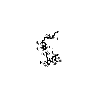 Cc1c(C)c2c(c(C)c1OCC(=O)CCO[C@@H]1C(C)C(O)OC(CO)[C@H]1O[C@@H]1OC(CO)[C@@H](O)[C@H](O)C1C)CC[C@](C)(CCC[C@@H](C)CCC[C@@H](C)CCCC(C)C)O2